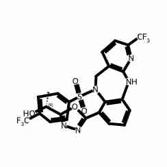 C[C@@H](O)c1nnc(-c2cccc3c2N(S(=O)(=O)c2ccc(C(F)(F)F)cc2)Cc2ccc(C(F)(F)F)nc2N3)o1